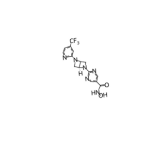 O=C(NO)c1cnc(N2CC3[C@@H]2CN3c2cc(C(F)(F)F)ccn2)nc1